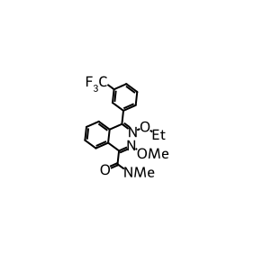 CCON=C(c1cccc(C(F)(F)F)c1)c1ccccc1C(=NOC)C(=O)NC